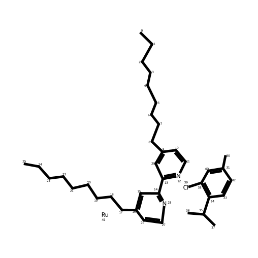 CCCCCCCCCc1ccnc(-c2cc(CCCCCCCCC)ccn2)c1.Cc1ccc(C(C)C)c(Cl)c1.[Ru]